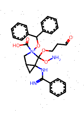 N=C(NC12CC1C[N+](OC(c1ccccc1)c1ccccc1)(C(=O)O)C2(ON)OCCC=O)c1ccccc1